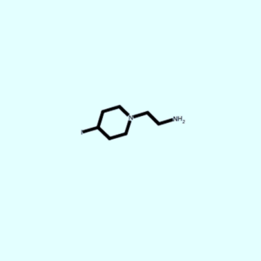 NCCN1CCC(I)CC1